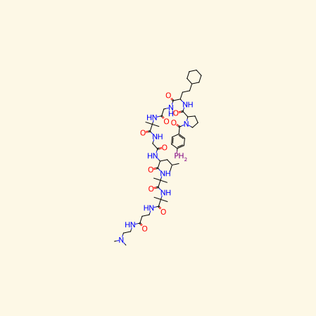 CC(C)CC(NC(=O)CNC(=O)C(C)(C)NC(=O)CNC(=O)C(CCC1CCCCC1)NC(=O)C1CCCN1C(=O)c1ccc(P)cc1)C(=O)NC(C)(C)C(=O)NC(C)(C)C(=O)NCCC(=O)NCCN(C)C